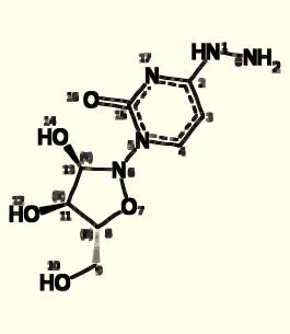 NNc1ccn(N2O[C@H](CO)[C@@H](O)[C@H]2O)c(=O)n1